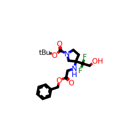 CC(C)(C)OC(=O)N1CCC(NCC(=O)OCc2ccccc2)(C(F)(F)CO)C1